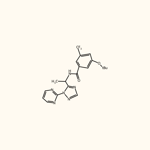 CC(NC(=O)c1cc(OC(C)(C)C)cc(C(F)(F)F)c1)c1ncnn1-c1ncccn1